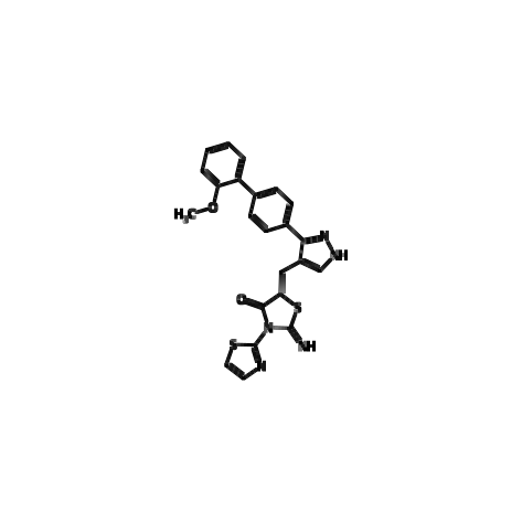 COc1ccccc1-c1ccc(-c2n[nH]cc2/C=C2\SC(=N)N(c3nccs3)C2=O)cc1